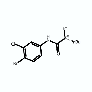 CCCC[C@@H](CC)C(=O)Nc1ccc(Br)c(Cl)c1